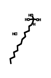 CCCCCCCCCCCCPC(O)(O)O.Cl